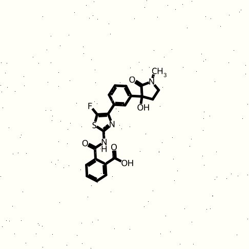 CN1CCC(O)(c2cccc(-c3nc(NC(=O)c4ccccc4C(=O)O)sc3F)c2)C1=O